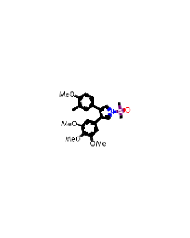 COc1ccc(-c2cn(P(C)(C)=O)cc2-c2cc(OC)c(OC)c(OC)c2)cc1C